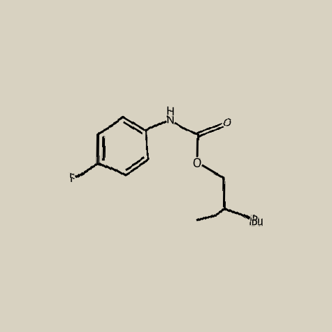 CCC(C)C(C)COC(=O)Nc1ccc(F)cc1